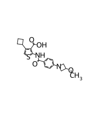 COC1CN(c2ccc(C(=O)Nc3scc(C4CCC4)c3C(=O)O)cc2)C1